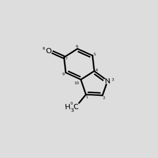 CC1=CN=C2C=CC(=O)C=C12